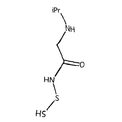 CC(C)NCC(=O)NSS